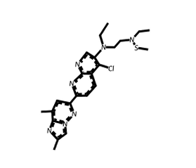 CCN(CCN(CC)c1cnc2nc(-c3cc(C)c4nc(C)cn4n3)ccc2c1Cl)SC